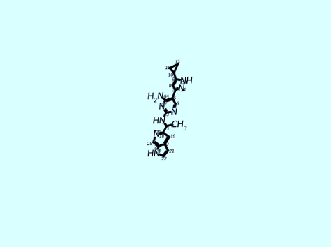 CC(Nc1ncc(-c2cc(C3CC3)[nH]n2)c(N)n1)c1cc2cc[nH]c2cn1